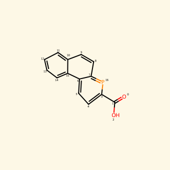 O=C(O)c1ccc2c(ccc3ccccc32)p1